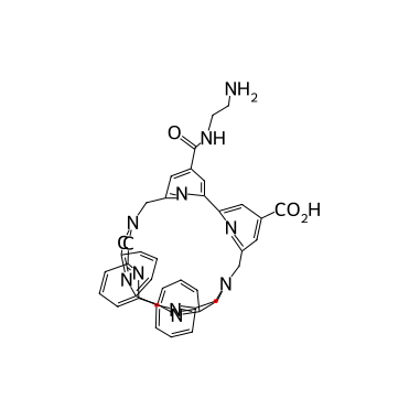 NCCNC(=O)c1cc2nc(c1)-c1cc(C(=O)O)cc(n1)CN1Cc3cccc(n3)-c3cccc(n3)CN(Cc3cccc(n3)-c3cccc(n3)C1)C2